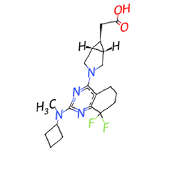 CN(c1nc(N2C[C@@H]3[C@@H](CC(=O)O)[C@@H]3C2)c2c(n1)C(F)(F)CCC2)C1CCC1